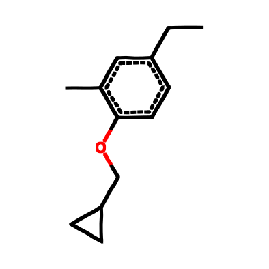 CCc1ccc(OCC2CC2)c(C)c1